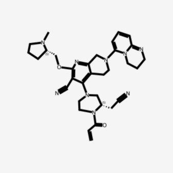 C=CC(=O)N1CCN(c2c(C#N)c(OC[C@@H]3CCCN3C)nc3c2CCN(C2=CC=CC4=NCCCN24)C3)C[C@@H]1CC#N